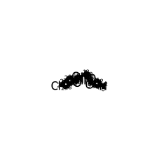 CN(C)c1ccc(S(=O)(=O)N[C@H]2CC[C@@H]2CNS(=O)(=O)N2CCc3cc(Cl)ccc3C2)cc1